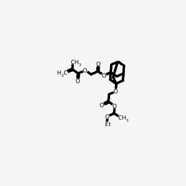 C=C(C)C(=O)OCC(=O)OC12CC3CC(CC(OCC(=O)OC(C)OCC)(C3)C1)C2